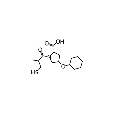 CC(CS)C(=O)N1CC(OC2CCCCC2)C[C@H]1C(=O)O